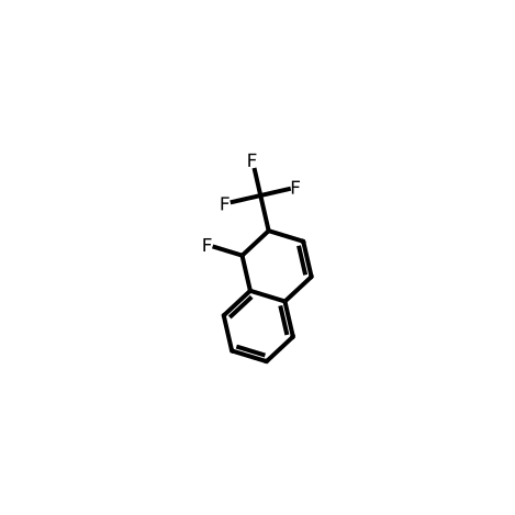 FC1c2ccccc2C=CC1C(F)(F)F